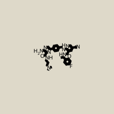 CC(NC(=O)c1cc(C#N)cnc1NCc1ccc(-c2cnc(N)c(C(=O)NCCCN(C)C)n2)cc1)c1ccc(F)cc1